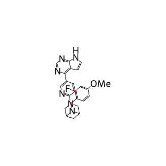 COc1ccc(CN2C3CC2CN(c2ccc(-c4ncnc5[nH]ccc45)cn2)C3)c(F)c1